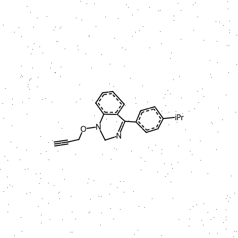 C#CCON1CN=C(c2ccc(C(C)C)cc2)c2ccccc21